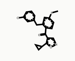 CSc1ccc(C(=O)c2cnoc2C2CC2)c(Cc2cccc(Cl)c2)c1